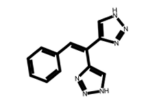 C(=C(c1c[nH]nn1)c1c[nH]nn1)c1ccccc1